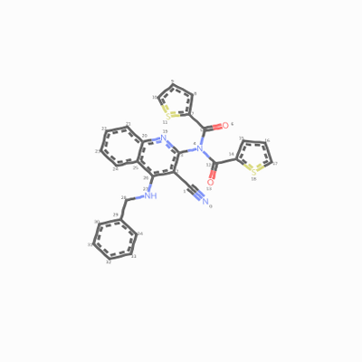 N#Cc1c(N(C(=O)c2cccs2)C(=O)c2cccs2)nc2ccccc2c1NCc1ccccc1